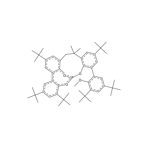 COc1c(-c2cc(C(C)(C)C)cc3c2Op2oc4c(cc(C(C)(C)C)cc4c4cc(C(C)(C)C)cc(C(C)(C)C)c4o2)CC3(C)C)cc(C(C)(C)C)cc1C(C)(C)C